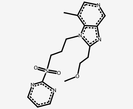 COCCc1nc2cncc(C)c2n1CCCS(=O)(=O)c1ncccn1